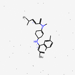 C=C(/C=C/C(C)C(C)C)N(C)C1=CCC(N/C(=C/C(=C)C(C)(C)C)c2cc(C)ccc2C)CC1